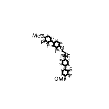 COc1ccc(-c2ccc(C(F)(F)CCOc3ccc(-c4ccc(OC)c(F)c4F)cc3F)cc2)c(F)c1F